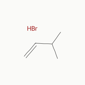 Br.C=CC(C)C